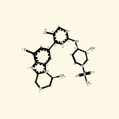 C[C@H]1COCc2nc3c(F)cc(-c4nc(N[C@@H]5CCN(S(C)(=O)=O)C[C@H]5O)ncc4Cl)cc3n21